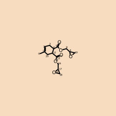 CC1=CCC(C(=O)OCC2CO2)C(C(=O)OCC2CO2)C1